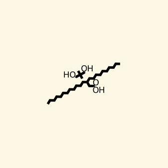 CC(C)(CO)CO.CCCCCCCCCCCCC(CCCCCCCCCC)CC(=O)O